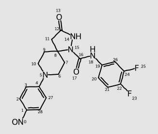 O=Nc1ccc(N2CCC3(CC2)CC(=O)NN3C(=O)Nc2ccc(F)c(F)c2)cc1